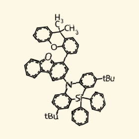 CC(C)(C)c1ccc2c(c1)[Si](c1ccccc1)(c1ccccc1)c1cc(C(C)(C)C)ccc1N2c1cc(-c2cccc3c2Oc2ccccc2C3(C)C)c2oc3ccccc3c2c1